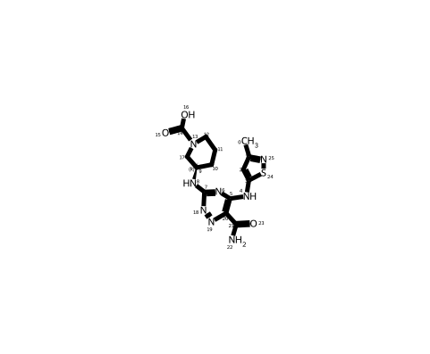 Cc1cc(Nc2nc(N[C@@H]3CCCN(C(=O)O)C3)nnc2C(N)=O)sn1